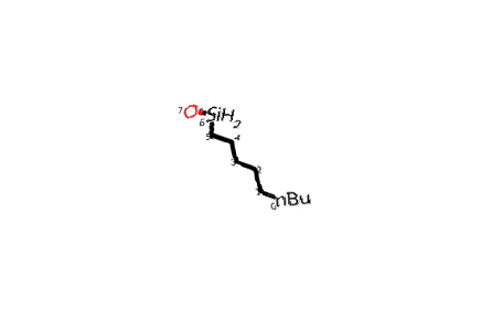 CCCCCCCCC[SiH2][O]